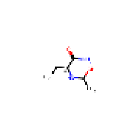 CC[C@H](NC(C)O)C(N)=O